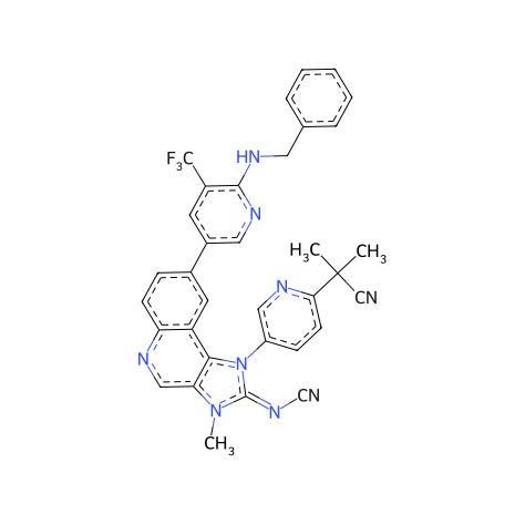 Cn1/c(=N/C#N)n(-c2ccc(C(C)(C)C#N)nc2)c2c3cc(-c4cnc(NCc5ccccc5)c(C(F)(F)F)c4)ccc3ncc21